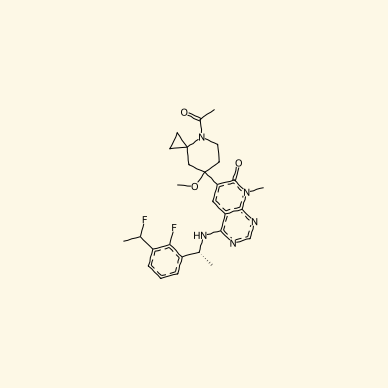 COC1(c2cc3c(N[C@H](C)c4cccc(C(C)F)c4F)ncnc3n(C)c2=O)CCN(C(C)=O)C2(CC2)C1